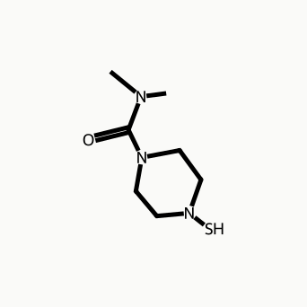 CN(C)C(=O)N1CCN(S)CC1